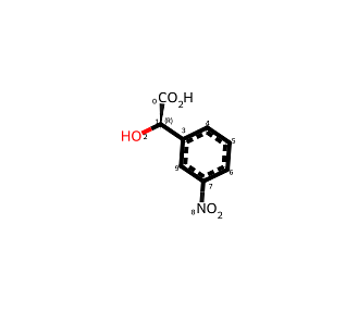 O=C(O)[C@H](O)c1cccc([N+](=O)[O-])c1